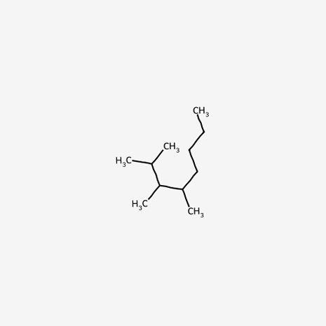 CCCCC(C)C(C)C(C)C